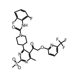 Cc1nc(S(C)(=O)=O)nc(C2CCN(C(=O)Nc3c(F)cccc3F)CC2)c1C(=O)COc1cccc(C(F)(F)F)n1